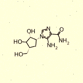 NC(=O)c1ncn([C@@H]2C[C@H](CO)C(O)[C@@H]2O)c1N